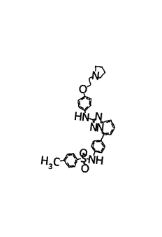 Cc1ccc(S(=O)(=O)Nc2ccc(-c3cccc4nc(Nc5ccc(OCCN6CCCC6)cc5)nn34)cc2)cc1